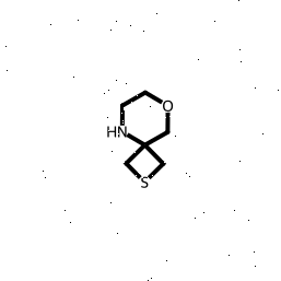 C1COCC2(CSC2)N1